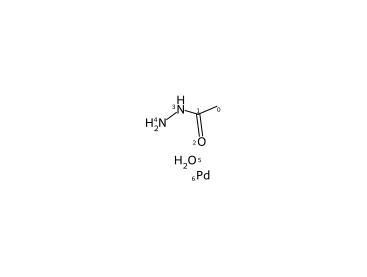 CC(=O)NN.O.[Pd]